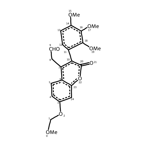 COCOc1ccc2c(CC=O)c(-c3ccc(OC)c(OC)c3OC)c(=O)oc2c1